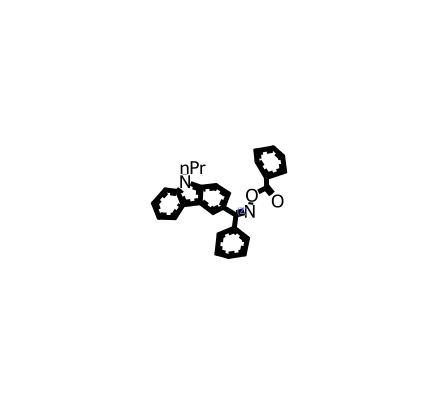 CCCn1c2ccccc2c2cc(/C(=N\OC(=O)c3ccccc3)c3ccccc3)ccc21